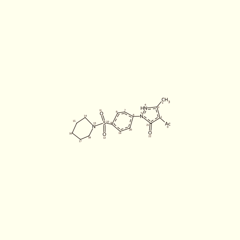 CC(=O)c1c(C)[nH]n(-c2ccc(S(=O)(=O)N3CCCCC3)cc2)c1=O